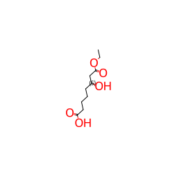 CCOC(=O)C[C@@H](O)CCCCC(=O)O